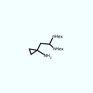 CCCCCCC(CCCCCC)CC1(N)CC1